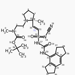 CN(CCN1CCC[C@@]1(C)/C=C/S(=O)(=NC#N)NC(=O)Nc1c2c(cc3c1CCC3)CCC2)C(=O)OC(C)(C)C